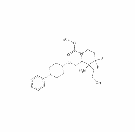 CC(C)(C)OC(=O)N1CCC(F)(F)C(N)(CCO)C1CO[C@H]1CC[C@@H](c2ccccc2)CC1